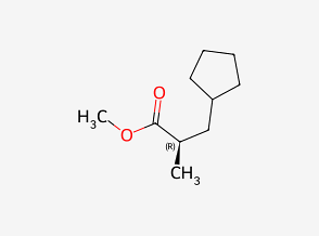 COC(=O)[C@H](C)CC1CCCC1